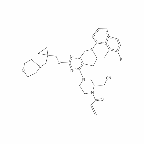 C=CC(=O)N1CCN(c2nc(OCC3(CN4CCOCC4)CC3)nc3c2CCN(c2cccc4ccc(F)c(C)c24)C3)C[C@@H]1CC#N